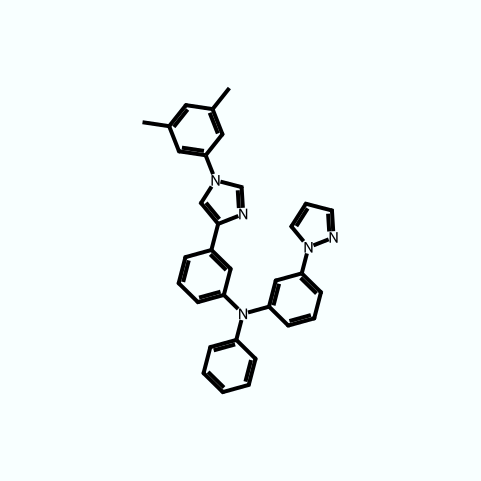 Cc1cc(C)cc(-n2cnc(-c3cccc(N(c4ccccc4)c4cccc(-n5cccn5)c4)c3)c2)c1